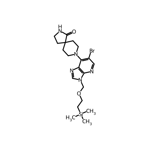 C[Si](C)(C)CCOCn1cnc2c(N3CCC4(CCNC4=O)CC3)c(Br)cnc21